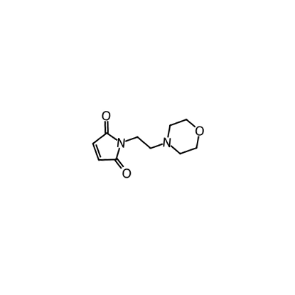 O=C1C=CC(=O)N1CCN1CCOCC1